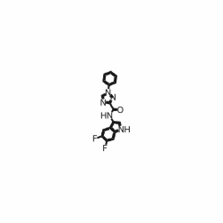 O=C(Nc1c[nH]c2cc(F)c(F)cc12)c1ncn(-c2ccccc2)n1